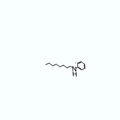 CCCCCCCCNc1[c]cccc1